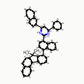 CC1(C)c2ccc3ccccc3c2-c2cccc(-c3ccc(-c4nc(-c5ccccc5)cc(-c5ccc6ccccc6c5)n4)c4ccccc34)c21